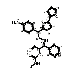 CNC(=O)OC(C=O)C(NC[C@H](c1ccc(N)cc1)c1nc(-c2cccs2)cs1)c1ccncc1